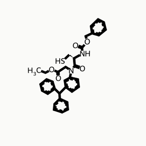 CCOC(=O)CN(C(=O)[C@H](CS)NC(=O)OCc1ccccc1)c1cccc(C(c2ccccc2)c2ccccc2)c1